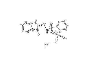 Cn1c(=NNS(=O)(=O)c2ccccc2S(=O)(=O)[O-])sc2ccccc21.[Na+]